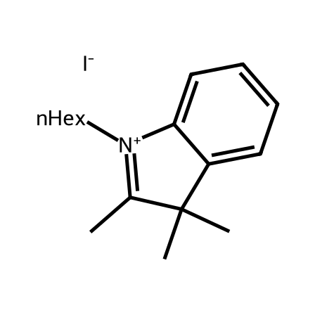 CCCCCC[N+]1=C(C)C(C)(C)c2ccccc21.[I-]